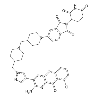 Nc1nc2c(=O)c3c(Cl)cccc3oc2cc1-c1cnn(CC2CCN(CC3CCN(c4ccc5c(c4)C(=O)N(C4CCC(=O)NC4=O)C5=O)CC3)CC2)c1